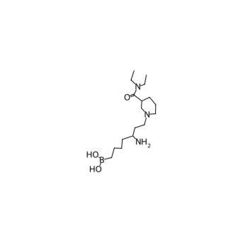 CCN(CC)C(=O)C1CCCN(CCC(N)CCCCB(O)O)C1